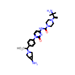 C=C(N1CCN(C(=O)Nc2ccn(-c3ccc(C(C(=O)O)N4CC5C(N)C5C4)cc3)c(=O)n2)CC1)C(C)(C)N